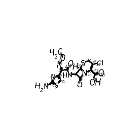 CO/N=C(\C(=O)NC1C(=O)N2C(C(=O)O)=C(Cl)CS[C@H]12)c1csc(N)n1